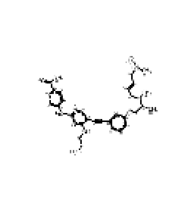 CCCNc1nc(Nc2ccc(C(N)=O)cc2)ncc1C#Cc1cccc(NC[C@H](C)N(C)C/C=C/CN(C)C)c1